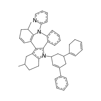 CC1CCc2c(c3c(n2C2C=C(c4ccccc4)CC(C4=CC=CCC4)C2)-c2ccccc2N(c2ccccn2)C2=C3C=CCC2C)C1